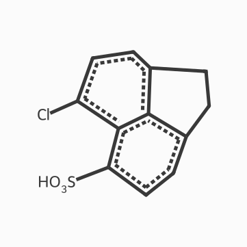 O=S(=O)(O)c1ccc2c3c(ccc(Cl)c13)CC2